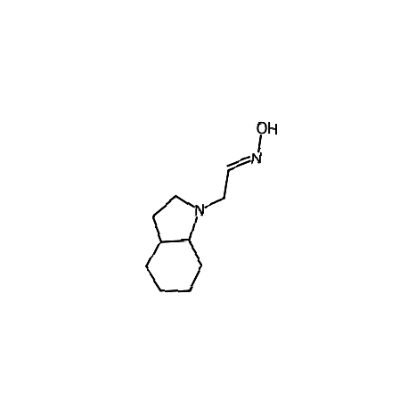 ON=CCN1CCC2CCCCC21